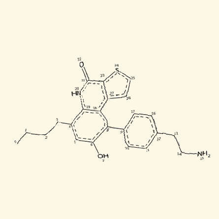 CCCCc1cc(O)c(-c2ccc(CCN)cc2)c2c1[nH]c(=O)c1sccc12